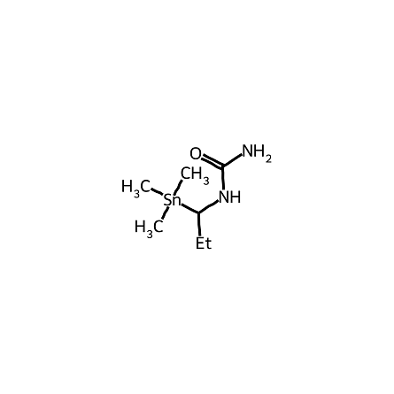 CC[CH](NC(N)=O)[Sn]([CH3])([CH3])[CH3]